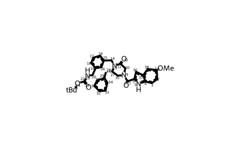 COc1ccc2[nH]c(C(=O)N3CC(=O)N(Cc4cccc(CNC(=O)OC(C)(C)C)c4)[C@@H](Cc4ccccc4)C3)cc2c1